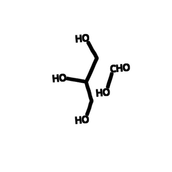 O=CO.OCC(O)CO